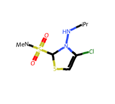 CNS(=O)(=O)C1SC=C(Cl)N1NC(C)C